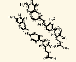 Nc1nc2ncc(CNc3ccc(C(=O)NC(CCC(=O)O)C(=O)O)cc3)nc2c(=O)[nH]1.Nc1nc2ncc(CNc3ccc(C(=O)NC(CCC(=O)O)C(=O)O)cc3)nc2c(=O)[nH]1.O